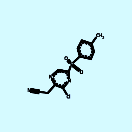 Cc1ccc(S(=O)(=O)c2cnc(CC#N)c(Cl)n2)cc1